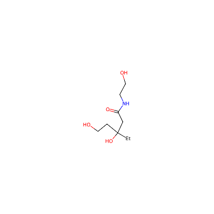 CCC(O)(CCO)CC(=O)NCCO